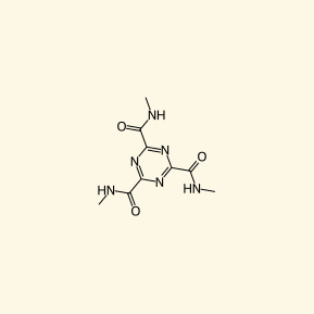 CNC(=O)c1nc(C(=O)NC)nc(C(=O)NC)n1